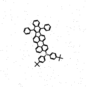 CC(C)(C)c1ccc(N(c2ccc(C(C)(C)C)cc2)c2ccc3c4ccc5c6c(ccc(c7cccc2c73)c64)-c2c-5c(-c3ccccc3)c3ccccc3c2-c2ccccc2)cc1